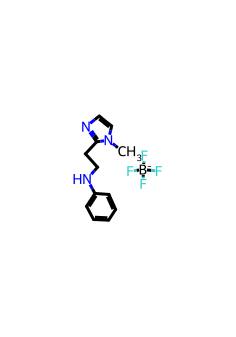 Cn1ccnc1CCNc1ccccc1.F[B-](F)(F)F